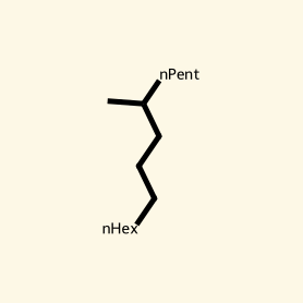 [CH2]CCCCC(C)CCCCCCCCC